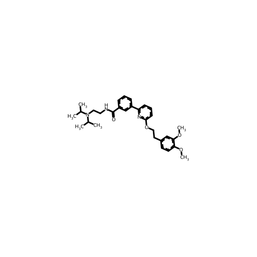 COc1ccc(CCOc2cccc(-c3cccc(C(=O)NCCN(C(C)C)C(C)C)c3)n2)cc1OC